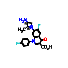 C[C@@H]1[C@@H](N)CN1c1cc2c(cc1F)c(=O)c(C(=O)O)cn2-c1ccc(F)cc1